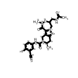 CC(=O)NCC1Cn2nc3c(c2C(=O)N(C)O1)CN(C(=O)Nc1ccc(F)c(C#N)c1)[C@H](C)C3